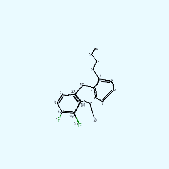 CCCCc1ccccc1Cc1ccc(F)c(F)c1CC